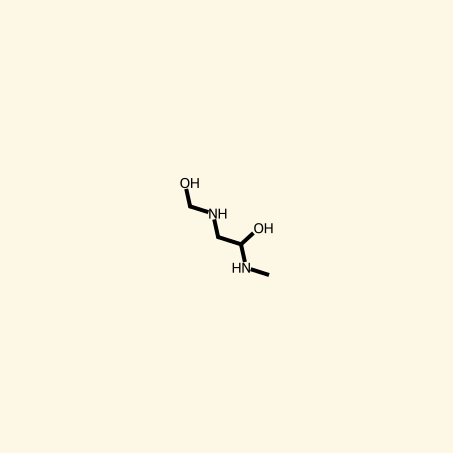 CNC(O)CNCO